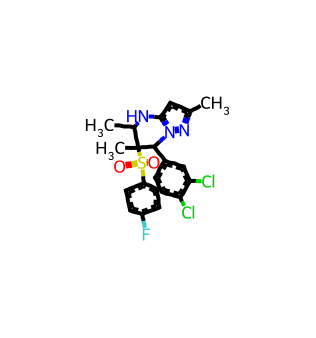 Cc1cc2n(n1)C(c1ccc(Cl)c(Cl)c1)C(C)(S(=O)(=O)c1ccc(F)cc1)C(C)N2